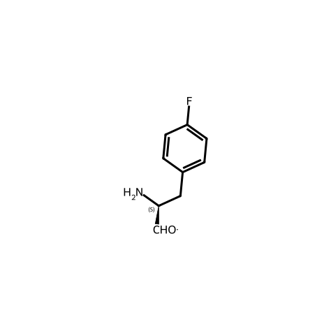 N[C@H]([C]=O)Cc1ccc(F)cc1